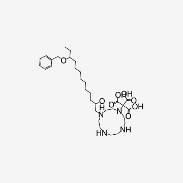 CCC(CCCCCCCCC(O)CN1CCNCCNCCN(C(C(=O)O)(C(=O)O)C(=O)O)CC1)OCc1ccccc1